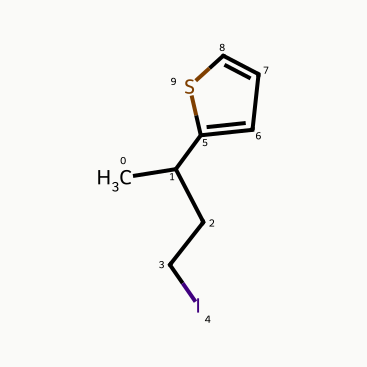 CC(CCI)c1cccs1